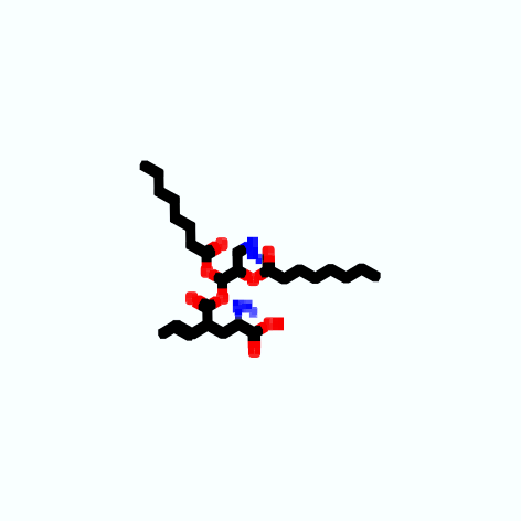 CC=CC(C[C@H](N)C(=O)O)C(=O)OC(OC(=O)CCCCCCC)C(CN)OC(=O)CCCCCCC